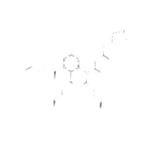 C=CCOC(=O)c1cccc(N(C(=O)OCC=C)C(=O)OC(=S)CC2CCNC2)c1C(=O)OCC=C